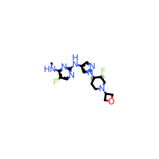 CNc1nc(Nc2cnn([C@@H]3CCN(C4COC4)C[C@H]3F)c2)ncc1F